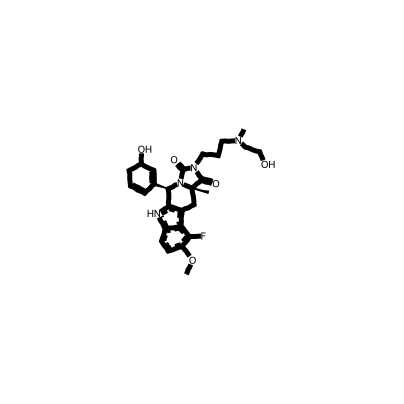 COc1ccc2[nH]c3c(c2c1F)C[C@@]1(C)C(=O)N(CCCN(C)CCO)C(=O)N1[C@@H]3C1=CC(O)CC=C1